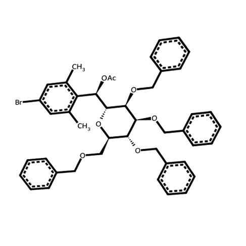 CC(=O)O[C@H](c1c(C)cc(Br)cc1C)[C@H]1O[C@H](COCc2ccccc2)[C@@H](OCc2ccccc2)[C@H](OCc2ccccc2)[C@@H]1OCc1ccccc1